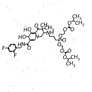 CC(C)OC(=O)OCOP(=O)(CCCNC1CN2C=C(C(=O)NCc3ccc(F)cc3F)C(O)C(O)=C2C(=O)C1(C)C)OCOC(=O)OC(C)C